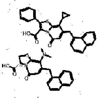 CN(C)c1c(Cc2cccc3ccccc23)cc(=O)n2c1SC[C@H]2C(=O)O.O=C(O)c1c(-c2ccccc2)sc2c(C3CC3)c(Cc3cccc4ccccc34)cc(=O)n12